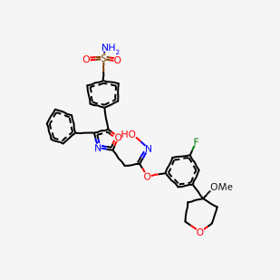 COC1(c2cc(F)cc(OC(Cc3nc(-c4ccccc4)c(-c4ccc(S(N)(=O)=O)cc4)o3)=NO)c2)CCOCC1